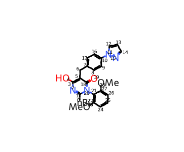 CCCCc1nc(O)c(Cc2ccc(-n3cccn3)cc2)c(=O)n1-c1c(OC)cccc1OC